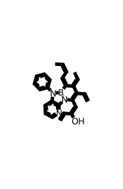 C=CC1=C(/C=C(/O)C=C)N2B(C(=C/C=C\C)/C1=C\C)N(c1ccccc1)c1cccnc12